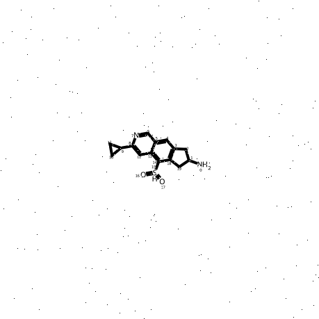 NC1Cc2cc3cnc(C4CC4)cc3c([SH](=O)=O)c2C1